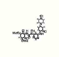 CCN1CCN(c2ccc(Nc3cc(N(C)C(=O)Nc4c(Cl)c(OC)cc(OC)c4Cl)ncn3)c(Cl)c2)CC1